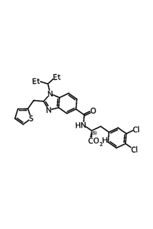 CCC(CC)n1c(Cc2cccs2)nc2cc(C(=O)N[C@@H](Cc3ccc(Cl)c(Cl)c3)C(=O)O)ccc21